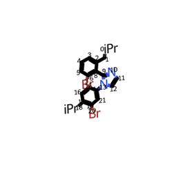 CC(C)Cc1cccc(Br)c1-c1nccn1-c1ccc(C(C)C)c(Br)c1